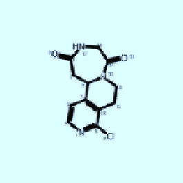 O=C1CC2c3ccnc(Cl)c3CCN2C(=O)CN1